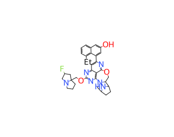 CCc1cccc2cc(O)cc(-c3cc4nc(OCC56CCCN5CC(F)C6)nc5c4c(n3)OCC3C4CCC(CN53)N4)c12